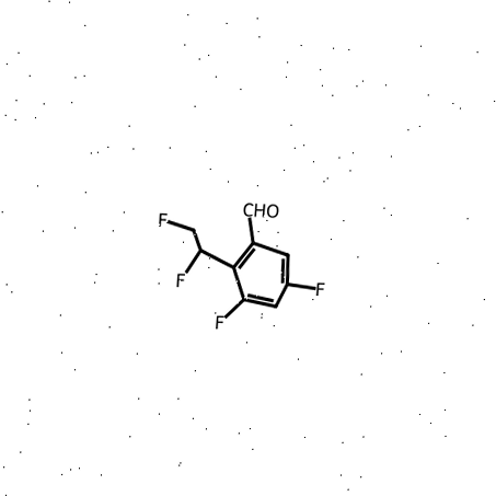 O=Cc1cc(F)cc(F)c1C(F)CF